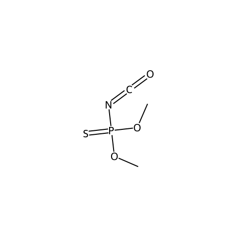 COP(=S)(N=C=O)OC